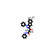 CCOC(=O)c1ccc2c(c1)-c1c(c(C(=O)C(C#N)(C#N)C(=O)Nc3ccccc3)nn1-c1ccccc1)C2